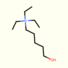 CC[N+](CC)(CC)CCCCCO